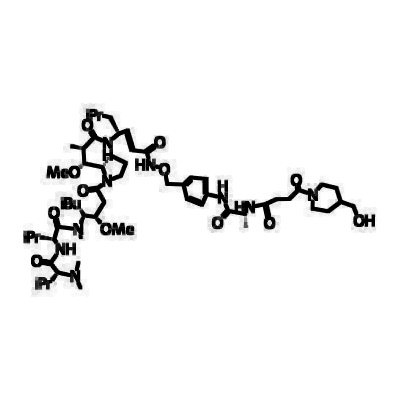 CC[C@H](C)[C@@H]([C@@H](CC(=O)N1CCC[C@H]1[C@H](OC)[C@@H](C)C(=O)N[C@H](/C=C/C(=O)NOCc1ccc(NC(=O)[C@@H](C)NC(=O)CCC(=O)N2CCC(CO)CC2)cc1)CC(C)C)OC)N(C)C(=O)[C@@H](NC(=O)[C@H](C(C)C)N(C)C)C(C)C